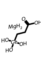 O=C(O)C[CH2][Ge]([OH])([OH])[OH].[MgH2]